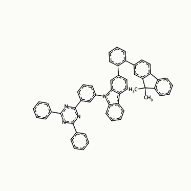 CC1(C)c2ccccc2-c2ccc(-c3ccccc3-c3ccc4c5ccccc5n(-c5cccc(-c6nc(-c7ccccc7)nc(-c7ccccc7)n6)c5)c4c3)cc21